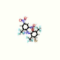 O=[N+]([O-])c1cc([N+](=O)[O-])c(Nc2c(Br)c(C(F)(F)F)cc(Br)c2C(F)(F)F)c(C(F)(F)F)c1